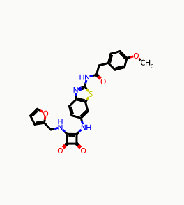 COc1ccc(CC(=O)Nc2nc3ccc(Nc4c(NCc5ccco5)c(=O)c4=O)cc3s2)cc1